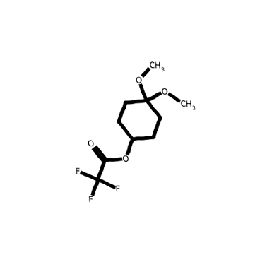 COC1(OC)CCC(OC(=O)C(F)(F)F)CC1